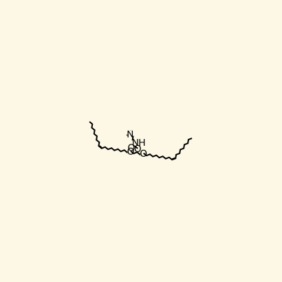 CCCCCCCC/C=C\CCCCCCCCOCC(COCCCCCCCC/C=C\CCCCCCCC)OC(=O)NCCN(C)C